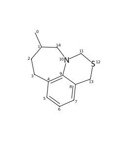 CC1CCc2cccc3c2N(CSC3)C1